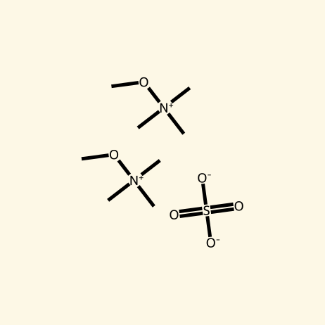 CO[N+](C)(C)C.CO[N+](C)(C)C.O=S(=O)([O-])[O-]